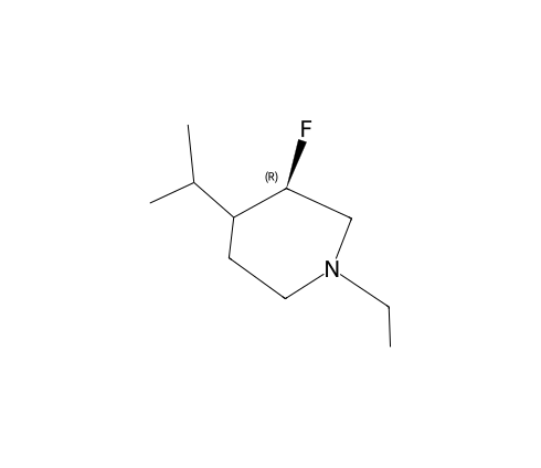 CCN1CCC(C(C)C)[C@@H](F)C1